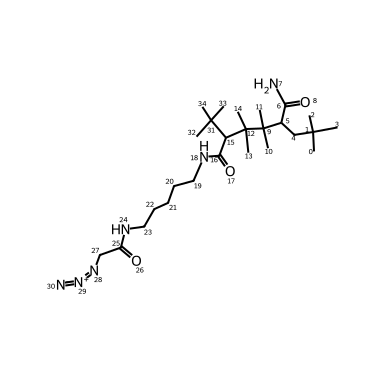 CC(C)(C)CC(C(N)=O)C(C)(C)C(C)(C)C(C(=O)NCCCCCNC(=O)CN=[N+]=[N-])C(C)(C)C